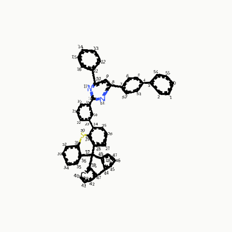 c1ccc(-c2ccc(-c3cc(-c4ccccc4)nc(-c4cccc(-c5cccc6c5Sc5ccccc5C65c6ccccc6-c6ccccc65)c4)n3)cc2)cc1